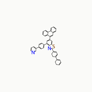 C1=CCCC(C2=CC=C(c3nc4c(-c5ccc(-c6cccnc6)cc5)cc(-c5cc6ccccc6c6ccccc56)cc4s3)CC2)=C1